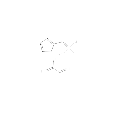 C=CC(=C)C.CCCP(CCC)(CCC)=NC1=CC=CC1.[Ti]